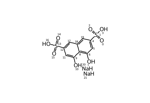 O=S(=O)(O)c1cc(O)c2c(O)cc(S(=O)(=O)O)cc2c1.[NaH].[NaH]